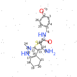 COc1ccc(CNC(=O)c2sc3c(c2N)C2=C(CCCC2)NN3C)cc1